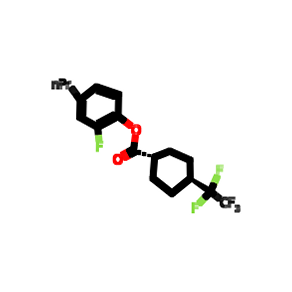 CCCc1ccc(OC(=O)[C@H]2CC[C@H](C(F)(F)C(F)(F)F)CC2)c(F)c1